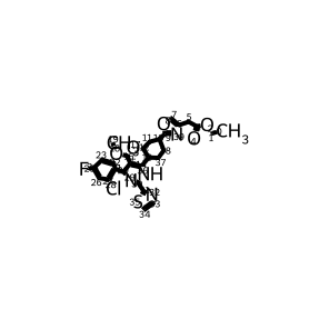 CCOC(=O)Cc1coc(C2CCC(C3=C(C(=O)OC)C(c4ccc(F)cc4Cl)N=C(c4nccs4)N3)CC2)n1